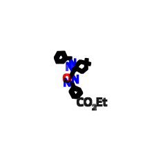 CCOC(=O)c1ccc(-c2noc(-c3nn(Cc4ccccc4)c4c3CCC(C)(C)C4)n2)cc1